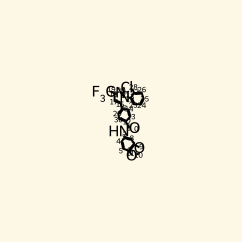 O=C(Nc1ccc2c(c1)OCO2)c1ccc(-c2cc(C(F)(F)F)nn2-c2ccccc2Cl)cc1